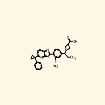 CCC(c1ccc(-c2nc3ccc(C4(c5ccccc5)CC4)nc3s2)c(F)c1)N1CC(C(=O)O)C1.Cl